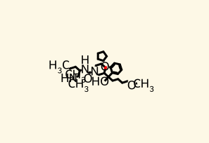 CNCC(CC(C)C)NC(=O)N1CCCC(C(O)(CCCCOC)c2ccccc2OC2CCCC2)C1